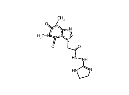 Cn1c(=O)c2c(ncn2CC(=O)NNC2=NCCN2)n(C)c1=O